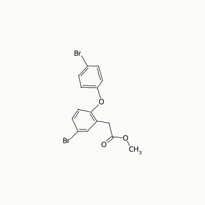 COC(=O)Cc1cc(Br)ccc1Oc1ccc(Br)cc1